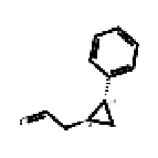 O=CC[C@@H]1C[C@H]1c1ccccc1